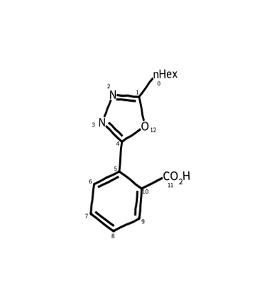 CCCCCCc1nnc(-c2ccccc2C(=O)O)o1